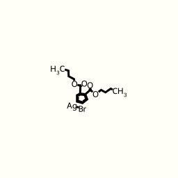 CCCCOC(=O)c1ccccc1C(=O)OCCCC.[Br][Ag]